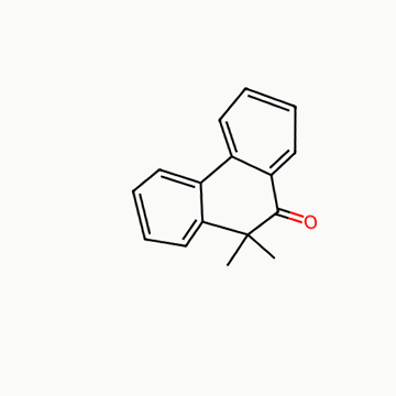 CC1(C)C(=O)c2ccccc2-c2ccccc21